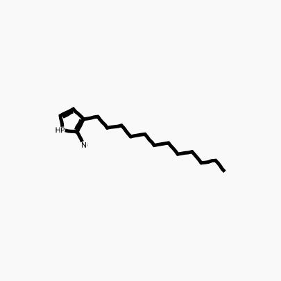 CCCCCCCCCCCCc1cc[pH]c1[N]